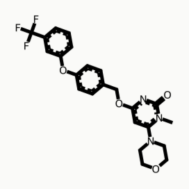 Cn1c(N2CCOCC2)cc(OCc2ccc(Oc3cccc(C(F)(F)F)c3)cc2)nc1=O